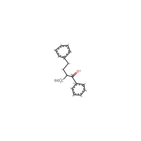 CCOC(=O)C(CCc1ccccc1)C(=O)c1ccccc1